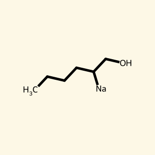 CCCC[CH]([Na])CO